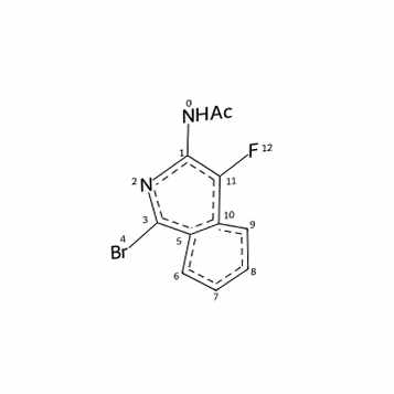 CC(=O)Nc1nc(Br)c2ccccc2c1F